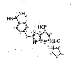 Cl.Cn1c(Cc2ccc(C(=N)N)cc2)nc2cc(C(=O)C3(C)CCCC3)ccc21